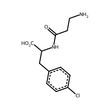 NCCC(=O)NC(Cc1ccc(Cl)cc1)C(=O)O